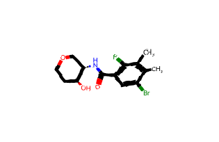 Cc1c(Br)cc(C(=O)N[C@H]2COCC[C@@H]2O)c(F)c1C